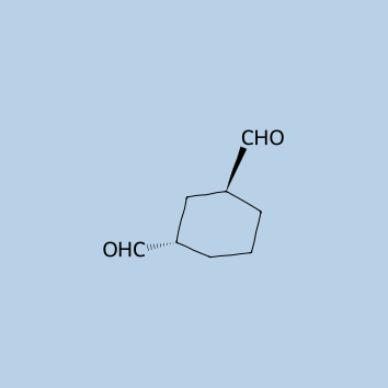 O=C[C@H]1CCC[C@H](C=O)C1